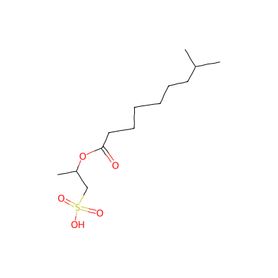 CC(C)CCCCCCC(=O)OC(C)CS(=O)(=O)O